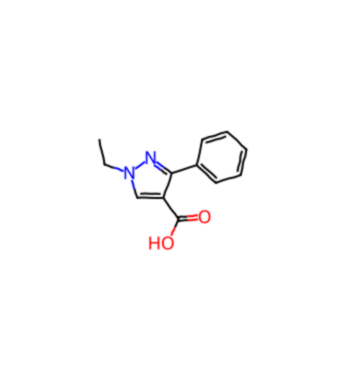 CCn1cc(C(=O)O)c(-c2ccccc2)n1